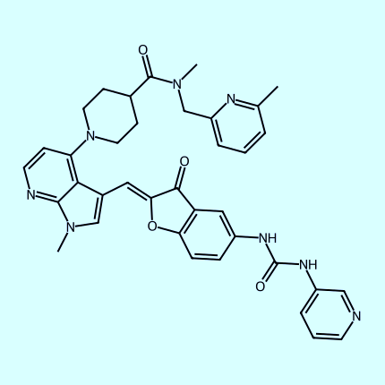 Cc1cccc(CN(C)C(=O)C2CCN(c3ccnc4c3c(/C=C3\Oc5ccc(NC(=O)Nc6cccnc6)cc5C3=O)cn4C)CC2)n1